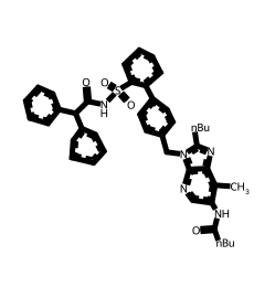 CCCCC(=O)Nc1cnc2c(nc(CCCC)n2Cc2ccc(-c3ccccc3S(=O)(=O)NC(=O)C(c3ccccc3)c3ccccc3)cc2)c1C